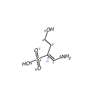 N/C=C(\CCO)S(=O)(=O)O